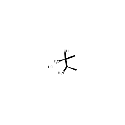 C[C@@H](N)[C@@](C)(O)C(F)(F)F.Cl